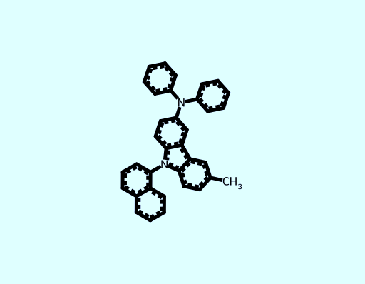 Cc1ccc2c(c1)c1cc(N(c3ccccc3)c3ccccc3)ccc1n2-c1cccc2ccccc12